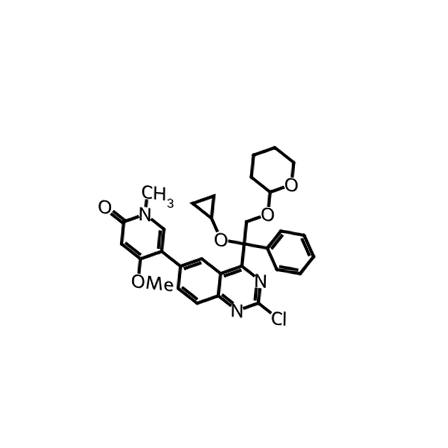 COc1cc(=O)n(C)cc1-c1ccc2nc(Cl)nc(C(COC3CCCCO3)(OC3CC3)c3ccccc3)c2c1